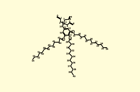 C=CC[N+](CC=C)(CC=C)Cc1cc(OCCCCCCCCCCCC)c(OCCCCCCCCCCCC)c(OCCCCCCCCCCCC)c1